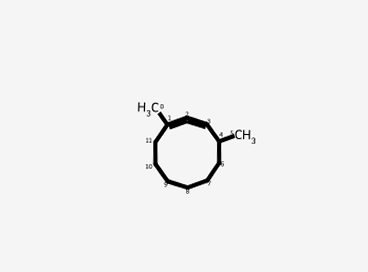 CC1=C=CC(C)CCCCCC1